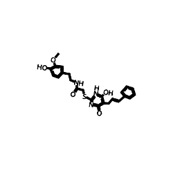 COc1cc(CCNC(=O)CSc2nc(=O)c(CC=Cc3ccccc3)c(O)[nH]2)ccc1O